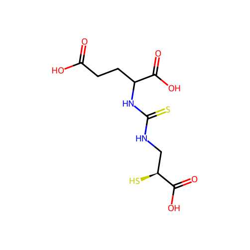 O=C(O)CCC(NC(=S)NC[C@H](S)C(=O)O)C(=O)O